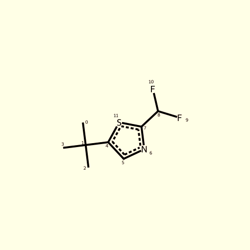 CC(C)(C)c1cnc(C(F)F)s1